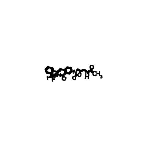 CC(=O)NCC1CN(c2ccc3cc(-c4ccccc4C(F)(F)F)[nH]c(=O)c3c2)C(=O)O1